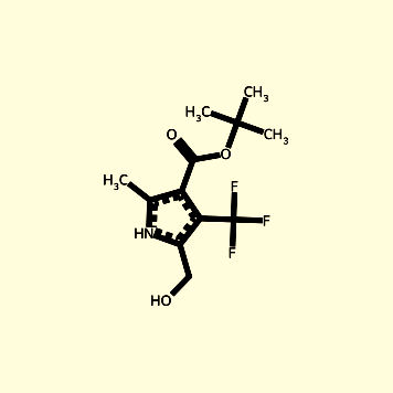 Cc1[nH]c(CO)c(C(F)(F)F)c1C(=O)OC(C)(C)C